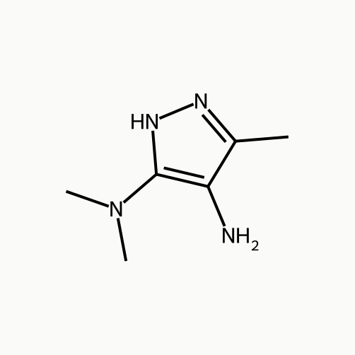 Cc1n[nH]c(N(C)C)c1N